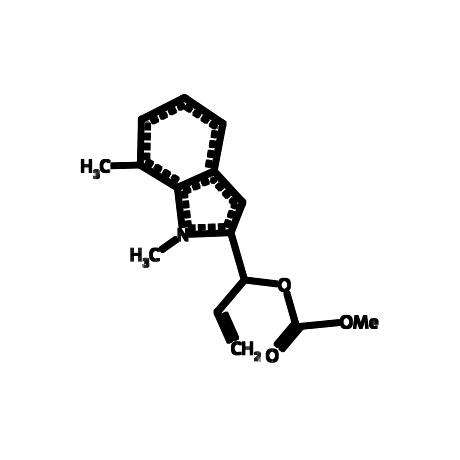 C=CC(OC(=O)OC)c1cc2cccc(C)c2n1C